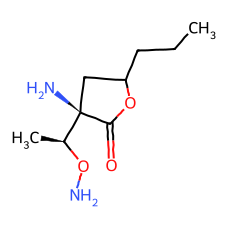 CCCC1C[C@@](N)([C@H](C)ON)C(=O)O1